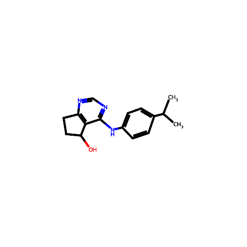 CC(C)c1ccc(Nc2ncnc3c2C(O)CC3)cc1